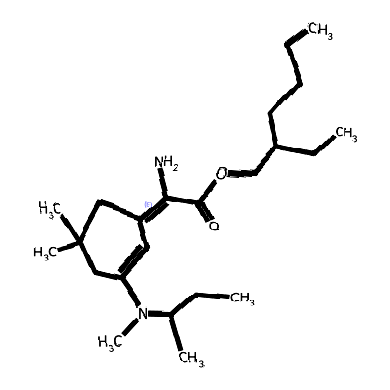 CCCCC(CC)COC(=O)/C(N)=C1\C=C(N(C)C(C)CC)CC(C)(C)C1